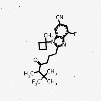 CC(C(=O)CCCc1nc2c(F)cc(C#N)cc2n1C1(C)CCC1)C(C)(C)C(F)(F)F